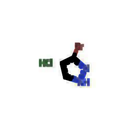 Brc1cc[nH]n1.Cl